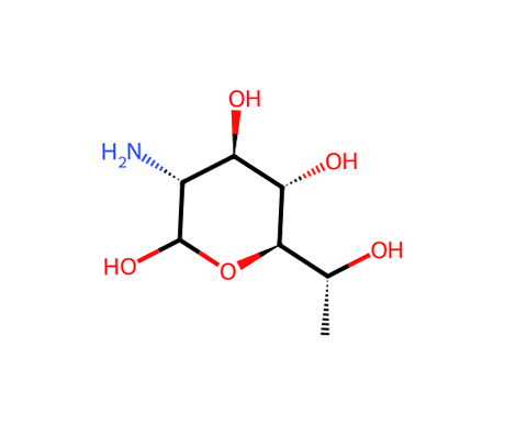 C[C@@H](O)[C@H]1OC(O)[C@H](N)[C@@H](O)[C@@H]1O